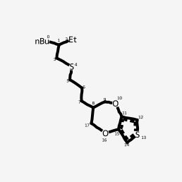 CCCCC(CC)CSCCCC1COc2cscc2OC1